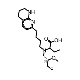 CCC(C(=O)O)N(CCCCc1ccc2c(n1)NCCC2)C[C@@H](CF)OC